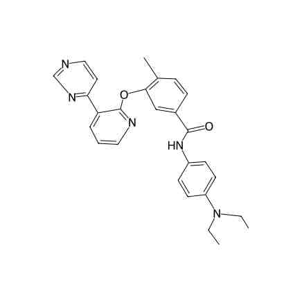 CCN(CC)c1ccc(NC(=O)c2ccc(C)c(Oc3ncccc3-c3ccncn3)c2)cc1